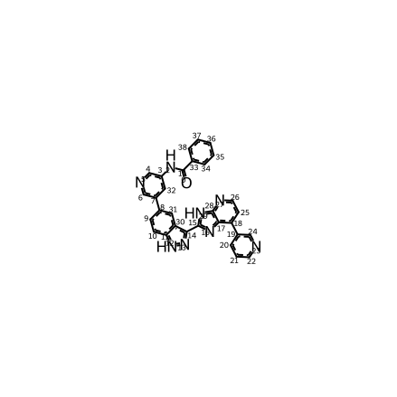 O=C(Nc1cncc(-c2ccc3[nH]nc(-c4nc5c(-c6cccnc6)ccnc5[nH]4)c3c2)c1)c1ccccc1